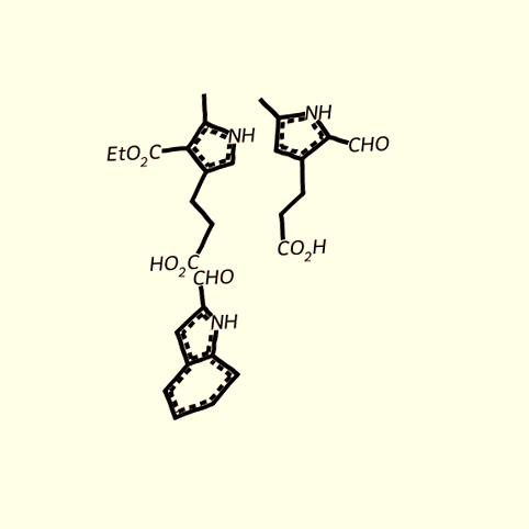 CCOC(=O)c1c(CCC(=O)O)c[nH]c1C.Cc1cc(CCC(=O)O)c(C=O)[nH]1.O=Cc1cc2ccccc2[nH]1